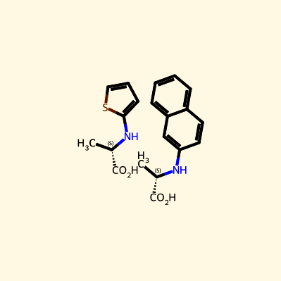 C[C@H](Nc1ccc2ccccc2c1)C(=O)O.C[C@H](Nc1cccs1)C(=O)O